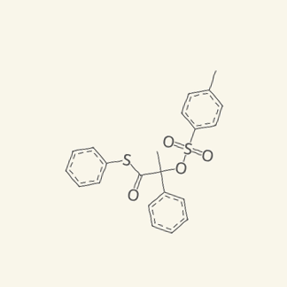 Cc1ccc(S(=O)(=O)OC(C)(C(=O)Sc2ccccc2)c2ccccc2)cc1